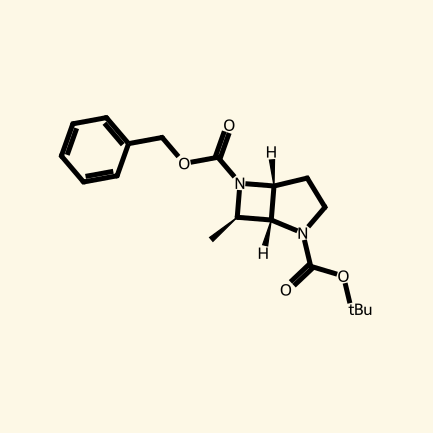 C[C@@H]1[C@@H]2[C@@H](CCN2C(=O)OC(C)(C)C)N1C(=O)OCc1ccccc1